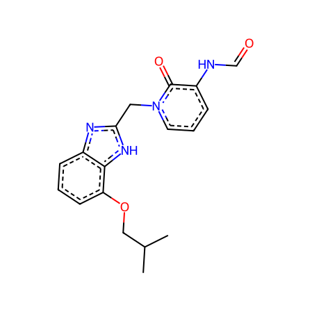 CC(C)COc1cccc2nc(Cn3cccc(NC=O)c3=O)[nH]c12